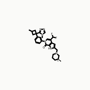 CC1CC(c2cccc(-n3cc(C(F)F)c4cc(CN5CCC[C@H](C)C5)[nH]c4c3=O)c2)(c2nncn2C)C1